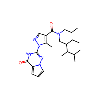 CCCN(CC(CC)C(C)C(C)C)C(=O)c1cnn(-c2nn3cccc3c(=O)[nH]2)c1C